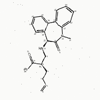 C=CCC[C@H](CN[C@@H]1C(=O)N(C)c2ccccc2-c2ccccc21)C(=O)C(C)C